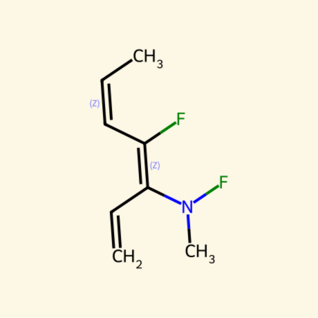 C=C/C(=C(F)\C=C/C)N(C)F